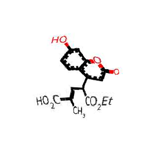 CCOC(=O)C(C=C(C)C(=O)O)c1cc(=O)oc2cc(O)ccc12